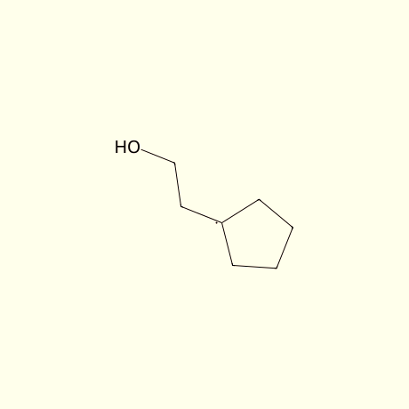 OCC[C]1CCCC1